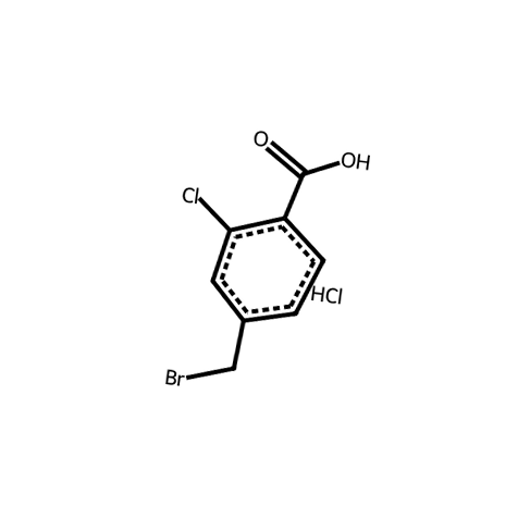 Cl.O=C(O)c1ccc(CBr)cc1Cl